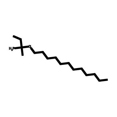 CCCCCCCCCCCCOC(C)(P)CC